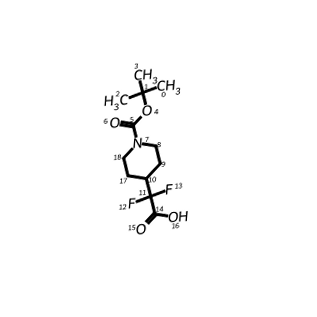 CC(C)(C)OC(=O)N1CCC(C(F)(F)C(=O)O)CC1